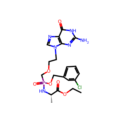 CCOC(=O)[C@H](C)NP(=O)(COCCn1cnc2c(=O)[nH]c(N)nc21)OCc1cccc(Cl)c1